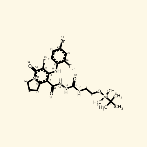 CC(C)(C)[Si](C)(C)OCCNC(=O)NNC(=O)c1c(Nc2ccc(Br)cc2F)c(F)c(=O)n2c1CCC2